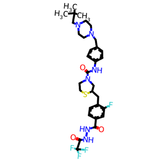 CC(C)(C)CN1CCN(Cc2ccc(NC(=O)N3CCSC(Cc4ccc(C(=O)NNC(=O)C(F)(F)F)cc4F)C3)cc2)CC1